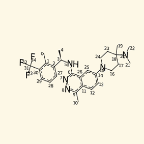 Cc1c([C@@H](C)Nc2nnc(C)c3ccc(N4CCC(C)(N(C)C)CC4)cc23)cccc1C(F)(F)F